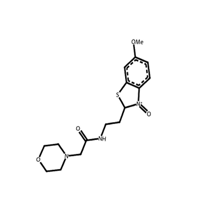 COc1ccc2c(c1)SC(CCNC(=O)CN1CCOCC1)[N+]2=O